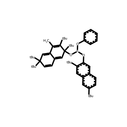 CC1=C(C(C)(C)C)C(OP(Oc2ccccc2)Oc2cc3ccc(C(C)(C)C)cc3cc2C(C)(C)C)(C(C)(C)C)C=C2C=CC(C(C)(C)C)(C(C)(C)C)C=C21